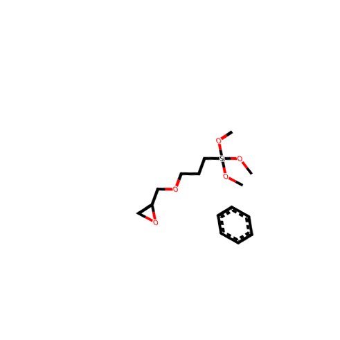 CO[Si](CCCOCC1CO1)(OC)OC.c1ccccc1